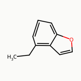 CCc1cccc2occc12